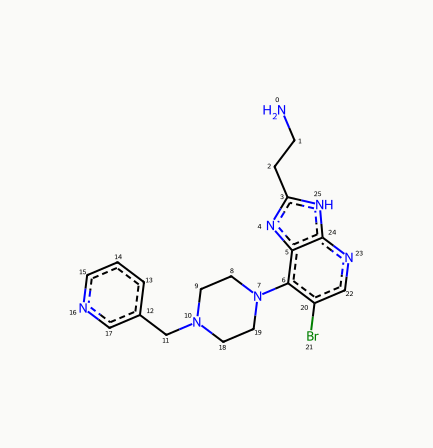 NCCc1nc2c(N3CCN(Cc4cccnc4)CC3)c(Br)cnc2[nH]1